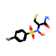 Cc1ccc(S(=O)(=O)N(O)C(CS)C(N)=O)cc1